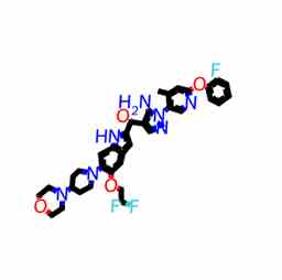 Cc1cc(Oc2ccccc2F)ncc1-n1ncc(C(=O)c2cc3cc(OCC(F)F)c(N4CCC(N5CCOCC5)CC4)cc3[nH]2)c1N